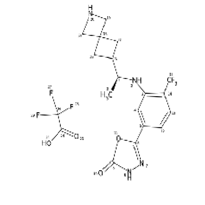 C[C@H](Nc1cc(-c2n[nH]c(=O)o2)ccc1C(F)(F)F)C1CC2(CNC2)C1.O=C(O)C(F)(F)F